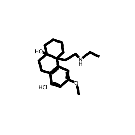 CCNCCC12CCCCC1(O)CCc1ccc(OC)cc12.Cl